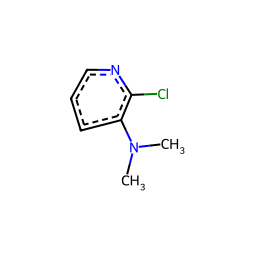 CN(C)c1cccnc1Cl